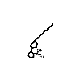 CCCCCCCCCc1ccc(-c2ccccc2B(O)O)cc1